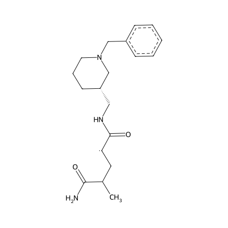 CC(C[CH]C(=O)NC[C@@H]1CCCN(Cc2ccccc2)C1)C(N)=O